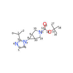 CC(C)c1nccn1C1C2CN(C(=O)OC(C)(C)C)CC21